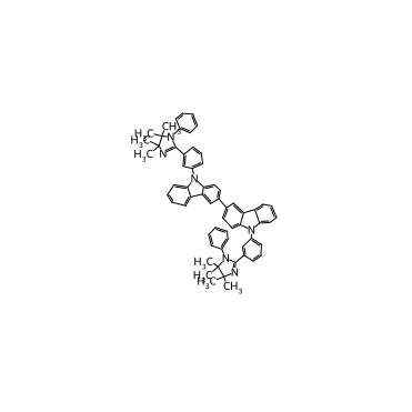 CC1(C)N=C(c2cccc(-n3c4ccccc4c4cc(-c5ccc6c(c5)c5ccccc5n6-c5cccc(C6=NC(C)(C)C(C)(C)N6c6ccccc6)c5)ccc43)c2)N(c2ccccc2)C1(C)C